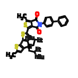 CCCCC(CC)C[Si]1(CC(CC)CCCC)c2cc(C)sc2-c2sc(-c3sc(C)c4c3C(=O)N(c3ccc(-c5ccccc5)cc3)C4=O)cc21